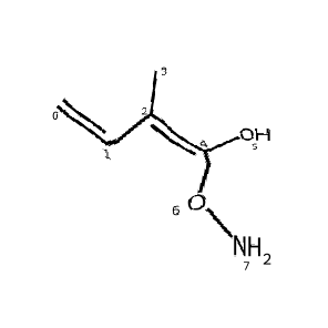 C=C/C(C)=C(/O)ON